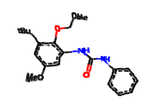 COCOc1c(NC(=O)Nc2ccccc2)cc(OC)cc1C(C)(C)C